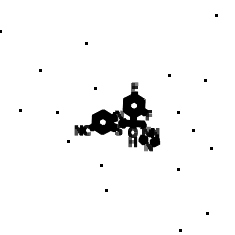 N#Cc1ccc2nc(C(O)(Cn3cncn3)c3ccc(F)cc3F)sc2c1